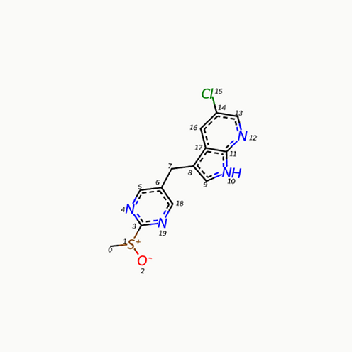 C[S+]([O-])c1ncc(Cc2c[nH]c3ncc(Cl)cc23)cn1